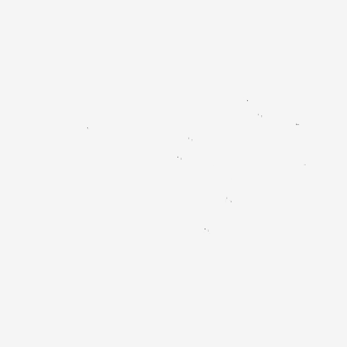 CCN(C(=O)O)c1cc2c(cn1)c(-c1cnn(C[C@@H]3COC(C)(C)O3)c1)nn2C1CCC(Oc2nccc(C(F)(F)F)c2F)CC1